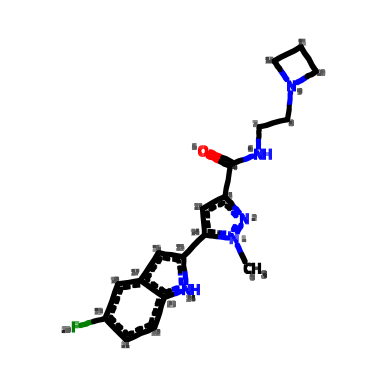 Cn1nc(C(=O)NCCN2CCC2)cc1-c1cc2cc(F)ccc2[nH]1